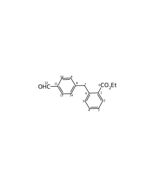 CCOC(=O)c1ccccc1Cc1ccc(C=O)cc1